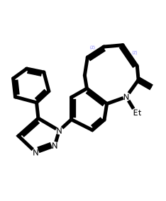 C=C1/C=C\C=C/Cc2cc(-n3nncc3-c3ccccc3)ccc2N1CC